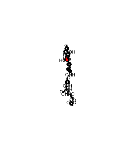 C[C@]12C=CC(=O)C=C1CC[C@@H]1[C@@H]2[C@@H](O)C[C@@]2(C)[C@H]1C[C@H]1OC(c3ccc(CC45C6C7C4C4C5C6C74NC(=O)OCc4ccc(NC(=O)[C@H](CCC(=O)O)NC(=O)CNC(=O)CCC(=O)ON5C(=O)C=CC5=O)cc4)cc3)O[C@]12C(=O)CO